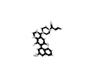 C/C=C/C(=O)N1CCN(c2ncnc3c(F)c(-c4cc(O)cc5ccccc45)c(Cl)cc23)CC1